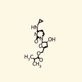 CC(C)C(=O)OCC1=C[C@@H](O)[C@H](n2ccc(NC3CC3)nc2=O)O1